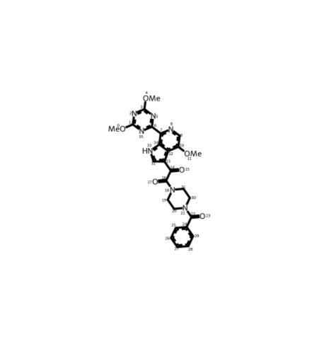 COc1nc(OC)nc(-c2ncc(OC)c3c(C(=O)C(=O)N4CCN(C(=O)c5ccccc5)CC4)c[nH]c23)n1